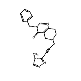 Cn1cnnc1C#CCN1CCc2ncn(Cc3ccccc3)c(=O)c2C1